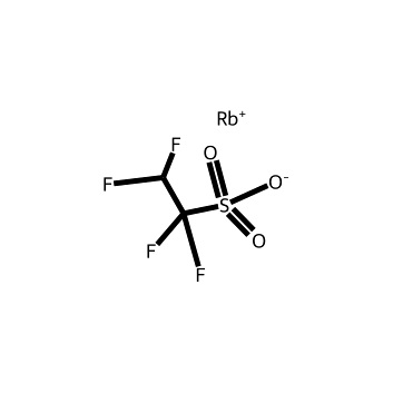 O=S(=O)([O-])C(F)(F)C(F)F.[Rb+]